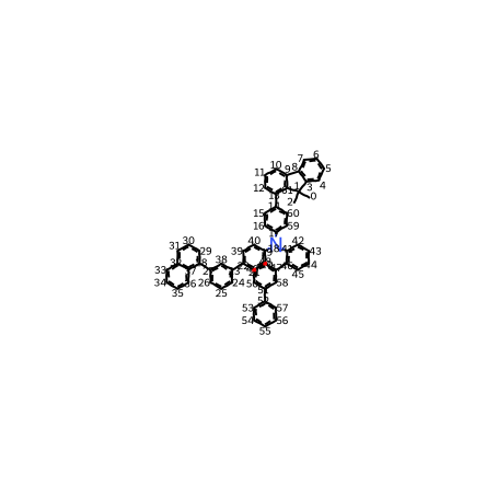 CC1(C)c2ccccc2-c2cccc(-c3ccc(N(c4ccc(-c5cccc(-c6cccc7ccccc67)c5)cc4)c4ccccc4-c4cccc(-c5ccccc5)c4)cc3)c21